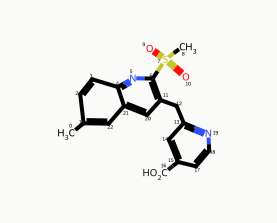 Cc1ccc2nc(S(C)(=O)=O)c(Cc3cc(C(=O)O)ccn3)cc2c1